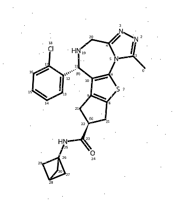 Cc1nnc2n1-c1sc3c(c1[C@H](c1ccccc1Cl)NC2)C[C@H](C(=O)NC12CC(C1)C2)C3